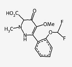 COC1=C(c2ccccc2OC(F)F)NN(C)C(C(=O)O)C1=O